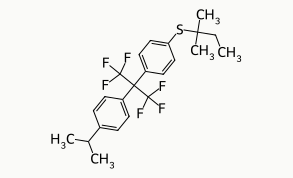 CCC(C)(C)Sc1ccc(C(c2ccc(C(C)C)cc2)(C(F)(F)F)C(F)(F)F)cc1